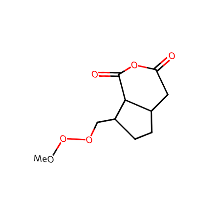 COOOCC1CCC2CC(=O)OC(=O)C12